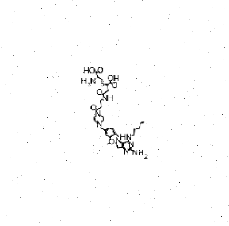 CCCCCNc1nc(N)nc2ccn(Cc3ccc(CN4CCN(C(=O)CCNC(=O)C[C@@H](SC[C@H](N)C(=O)O)C(=O)O)CC4)cc3OC)c12